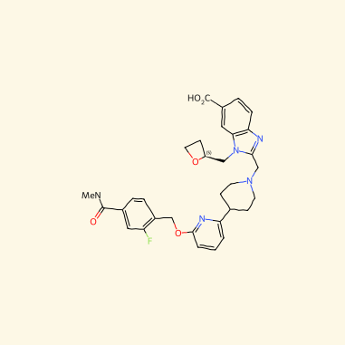 CNC(=O)c1ccc(COc2cccc(C3CCN(Cc4nc5ccc(C(=O)O)cc5n4C[C@@H]4CCO4)CC3)n2)c(F)c1